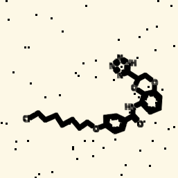 O=C(Nc1cccc2c1OC(c1nnn[nH]1)CO2)c1ccc(OCCCCCCCCl)cc1